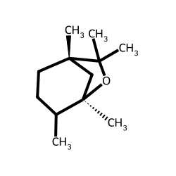 CC1CC[C@@]2(C)C[C@@]1(C)OC2(C)C